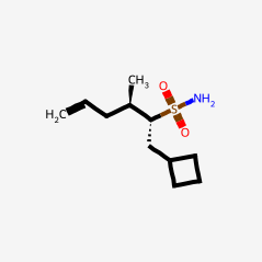 C=CC[C@@H](C)[C@@H](CC1CCC1)S(N)(=O)=O